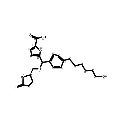 O=C1CC[C@H](COC(c2ccc(CCCCCCO)cc2)c2ccc(C(=O)O)o2)N1